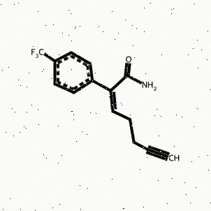 C#CCCC=C(C(N)=O)c1ccc(C(F)(F)F)cc1